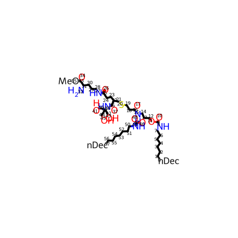 CCCCCCCCCCCCCCCCCNC(=O)OCC(CNC(=O)CCSCC(CCC(=O)NCCCC(N)C(=O)OC)C(=O)NC(CO)(CO)CO)OC(=O)NCCCCCCCCCCCCCCCCC